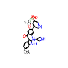 N#Cc1ccc2c(c1)[nH]c1c2c(=O)c2cc(OCC(F)(F)F)c(-c3cncc(S(=O)(=O)F)c3)cc2n1C1CNC1